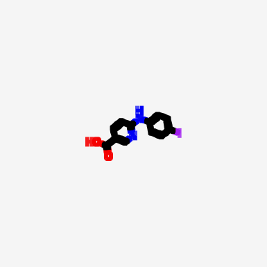 O=C(O)c1ccc(Nc2ccc(I)cc2)nc1